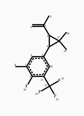 C=C(C)C1C(c2cc(C)c(F)c(C(F)(F)F)c2)C1(C)C